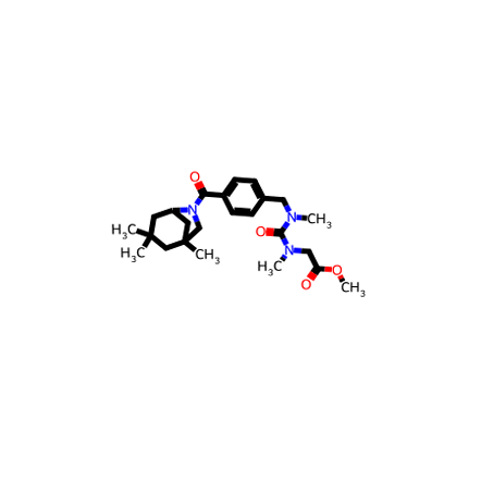 COC(=O)CN(C)C(=O)N(C)Cc1ccc(C(=O)N2CC3(C)CC2CC(C)(C)C3)cc1